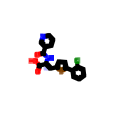 O=C(O)/C(=C/c1ccc(-c2ccccc2Cl)s1)NC(=O)c1cccnc1